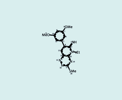 CCn1c(=N)c(-c2cc(OC)cc(OC)c2)cc2nnc(SC)nc21